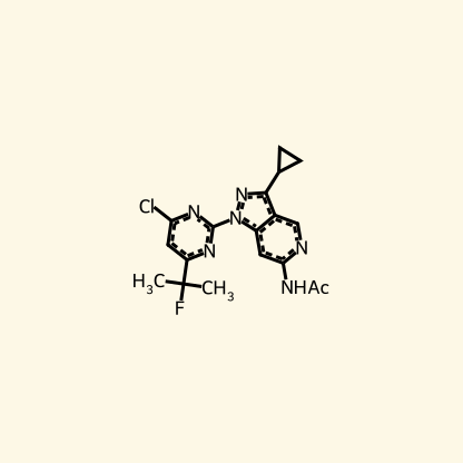 CC(=O)Nc1cc2c(cn1)c(C1CC1)nn2-c1nc(Cl)cc(C(C)(C)F)n1